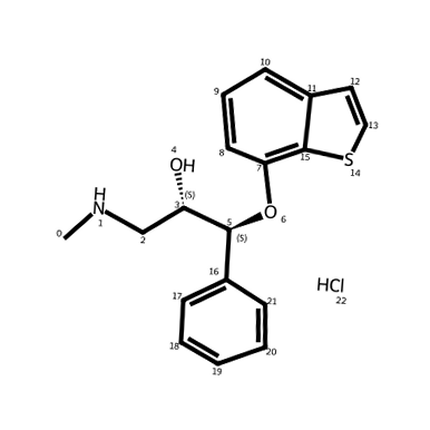 CNC[C@H](O)[C@@H](Oc1cccc2ccsc12)c1ccccc1.Cl